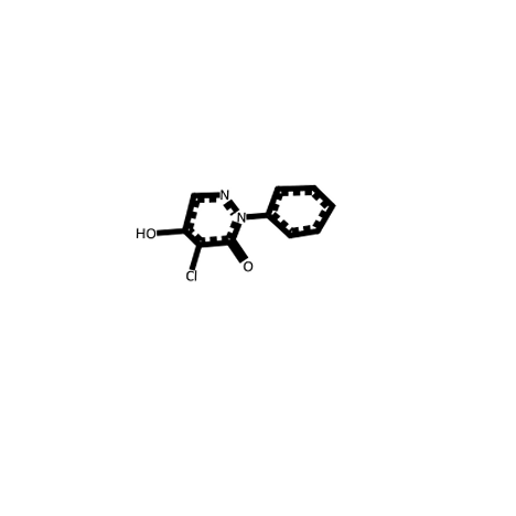 O=c1c(Cl)c(O)cnn1-c1ccccc1